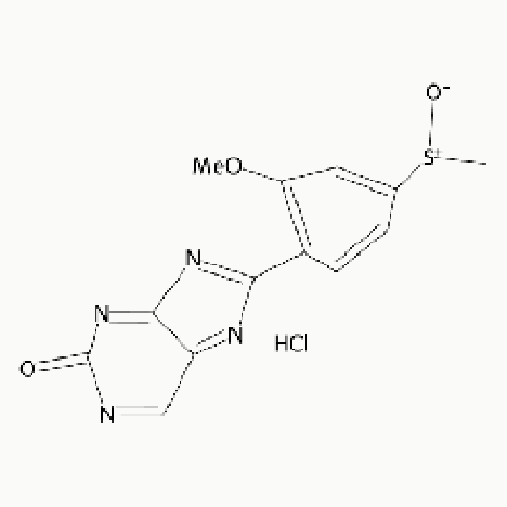 COc1cc([S+](C)[O-])ccc1C1=NC2=NC(=O)N=CC2=N1.Cl